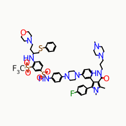 Cc1c(C(=O)NCCCN2CCN(C)CC2)c(-c2cccc(N3CCN(c4ccc(NS(=O)(=O)c5ccc(NC(CCN6CCOCC6)CSc6ccccc6)c(S(=O)(=O)C(F)(F)F)c5)cc4)CC3)c2)c(-c2ccc(F)cc2)n1C